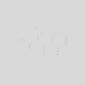 CCOC(=N)C(O)c1c(C)ccc2ccccc12.Cl